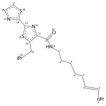 CCC/C=C/CCCCCNC(=O)c1nc(-c2nccs2)sc1CC(C)C